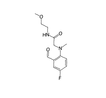 COCCNC(=O)CN(C)c1ccc(F)cc1C=O